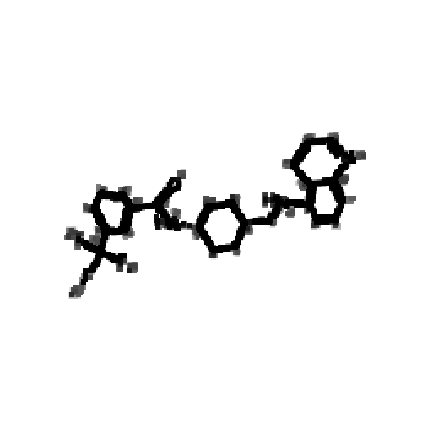 O=C(N[C@H]1CC[C@H](CNc2cccc3ncccc23)CC1)c1cccc(C(F)(F)F)c1